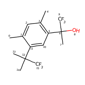 Cc1cc(C)c(C(C)(O)C(F)(F)F)cc1C(C)(C)C(F)(F)F